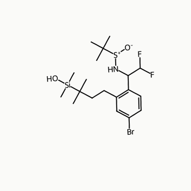 CC(C)(C)[S+]([O-])NC(c1ccc(Br)cc1CCC(C)(C)[Si](C)(C)O)C(F)F